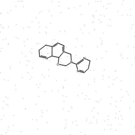 C1=NC(N2COC3C(=CC=C4CCC=NC43)C2)=NCC1